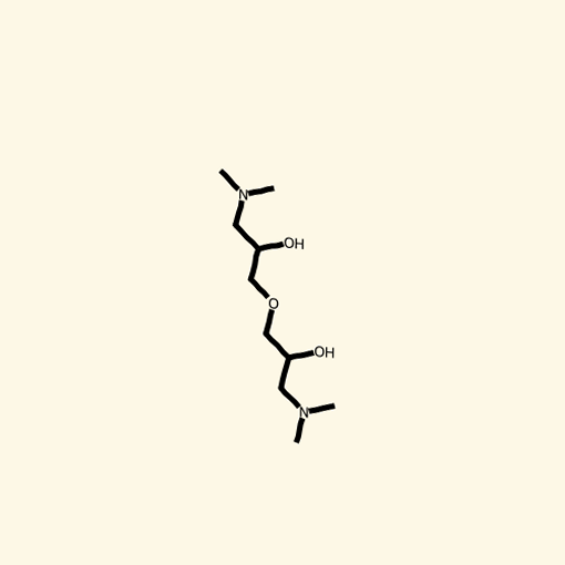 CN(C)CC(O)COCC(O)CN(C)C